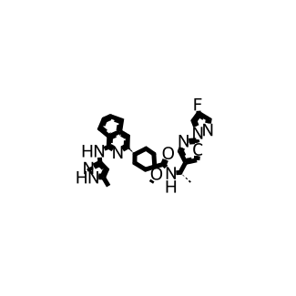 CO[C@]1(C(=O)N[C@@H](C)c2ccc(-n3cc(F)cn3)nc2)CC[C@@H](c2cc3ccccc3c(Nc3cc(C)[nH]n3)n2)CC1